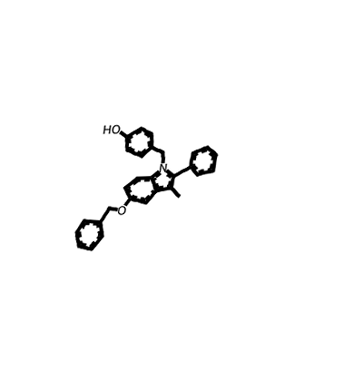 Cc1c(-c2ccccc2)n(Cc2ccc(O)cc2)c2ccc(OCc3ccccc3)cc12